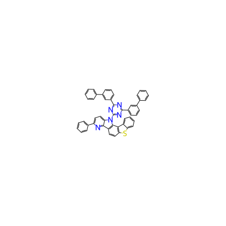 c1ccc(-c2cccc(-c3nc(-c4cccc(-c5ccccc5)c4)nc(-n4c5ccc(-c6ccccc6)nc5c5ccc6sc7ccccc7c6c54)n3)c2)cc1